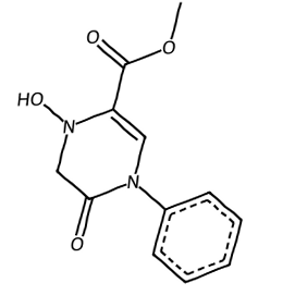 COC(=O)C1=CN(c2ccccc2)C(=O)CN1O